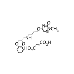 Cn1ncc(OCCCCNC[C@H]2COc3ccccc3O2)nc1=O.O=C(O)/C=C/C(=O)O